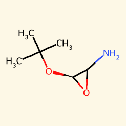 CC(C)(C)O[C@@H]1OC1N